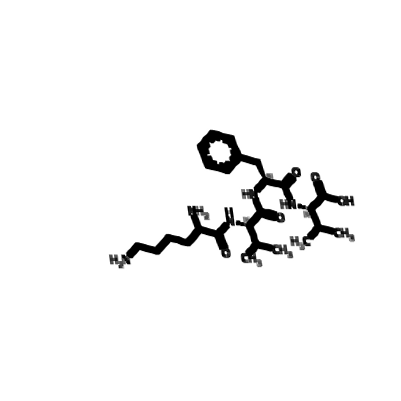 CC(C)[C@H](NC(=O)[C@H](Cc1ccccc1)NC(=O)[C@@H](NC(=O)C(N)CCCCN)C(C)C)C(=O)O